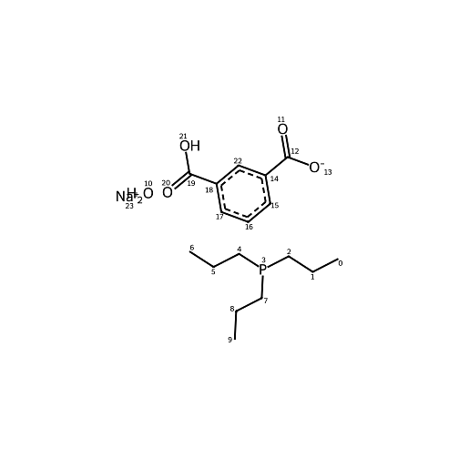 CCCP(CCC)CCC.O.O=C([O-])c1cccc(C(=O)O)c1.[Na+]